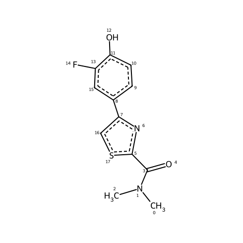 CN(C)C(=O)c1nc(-c2ccc(O)c(F)c2)cs1